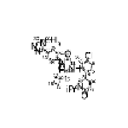 CC(C)n1cc(-c2ccc(Cl)c(C[C@H](NC(=O)CC3CCC3)C(=O)Nc3ccc(-c4nncn4C)cc3)c2)ccc1=O